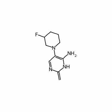 C=C1N=CC(N2CCCC(F)C2)=C(N)N1